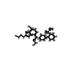 CCCCc1cn2c([C@H](OCC)c3ccc(-c4ccccc4C(=O)O)cc3)ccc(C)c2n1